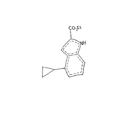 CCOC(=O)c1cc2c(C3CC3)cccc2[nH]1